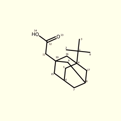 CC(C)(C)C12CC3CC(CC(CC(=O)O)(C3)C1)C2